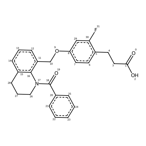 O=C(O)CCc1ccc(OCc2cccc3c2N(C(=O)c2ccccc2)CCC3)cc1F